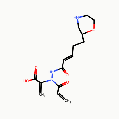 C=CC(=O)N(NC(=O)C=CCCC1CNCCO1)C(=C)C(=O)O